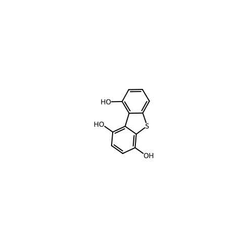 Oc1ccc(O)c2c1sc1cccc(O)c12